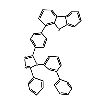 c1ccc(-c2cccc(-n3c(-c4ccccc4)nnc3-c3ccc(-c4cccc5c4sc4ccccc45)cc3)c2)cc1